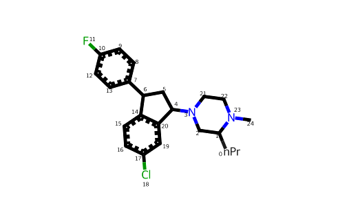 CCCC1CN(C2CC(c3ccc(F)cc3)c3ccc(Cl)cc32)CCN1C